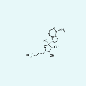 N#C[C@@]1(c2ccc3c(N)ncnn23)O[C@H](CCCC(=O)O)[C@@H](O)[C@H]1O